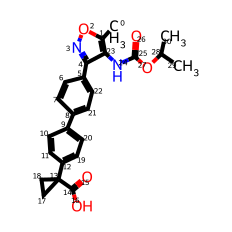 Cc1onc(-c2ccc(-c3ccc(C4(C(=O)O)CC4)cc3)cc2)c1NC(=O)OC(C)C